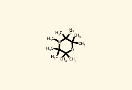 CN1C(C)(C)C(C)(C)OC(C)(C)C1(C)C